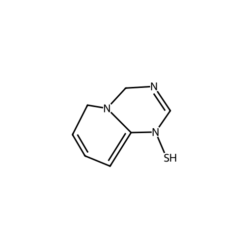 SN1C=NCN2CC=CC=C12